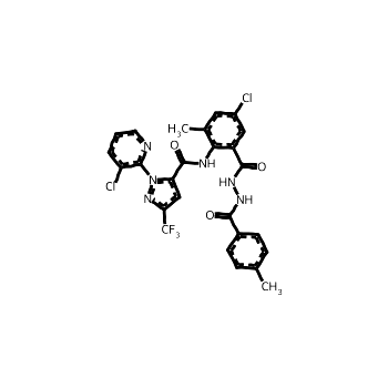 Cc1ccc(C(=O)NNC(=O)c2cc(Cl)cc(C)c2NC(=O)c2cc(C(F)(F)F)nn2-c2ncccc2Cl)cc1